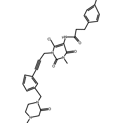 Cc1ccc(CCC(=O)Nc2c(Cl)n(CC#Cc3cccc(CN4CCN(C)CC4=O)c3)c(=O)n(C)c2=O)cc1